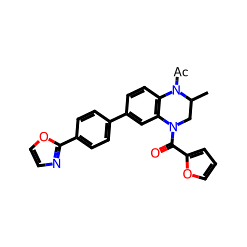 CC(=O)N1c2ccc(-c3ccc(-c4ncco4)cc3)cc2N(C(=O)c2ccco2)CC1C